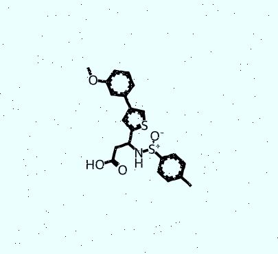 COc1cccc(-c2csc(C(CC(=O)O)N[S@+]([O-])c3ccc(C)cc3)c2)c1